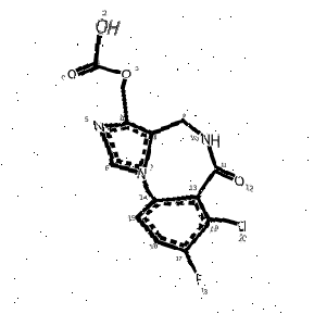 O=C(O)Oc1ncn2c1CNC(=O)c1c-2ccc(F)c1Cl